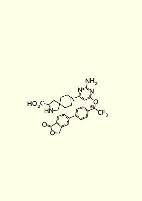 Nc1nc(O[C@H](c2ccc(-c3ccc4c(c3)COC4=O)cc2)C(F)(F)F)cc(N2CCC3(CC2)CNC(C(=O)O)C3)n1